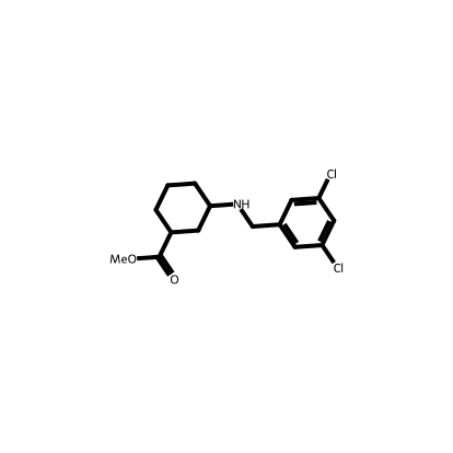 COC(=O)C1CCCC(NCc2cc(Cl)cc(Cl)c2)C1